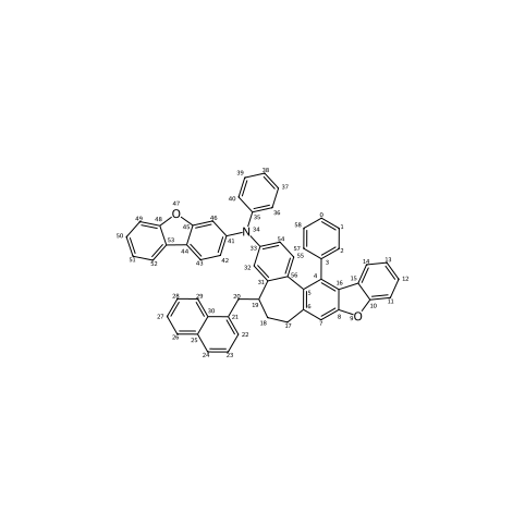 c1ccc(-c2c3c(cc4oc5ccccc5c24)CCC(Cc2cccc4ccccc24)c2cc(N(c4ccccc4)c4ccc5c(c4)oc4ccccc45)ccc2-3)cc1